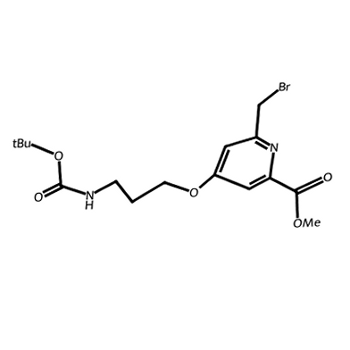 COC(=O)c1cc(OCCCNC(=O)OC(C)(C)C)cc(CBr)n1